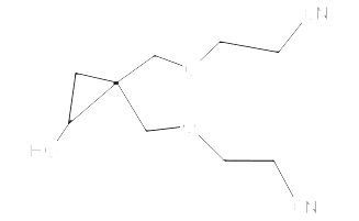 N#CCCOCC1(COCCC#N)CC1O